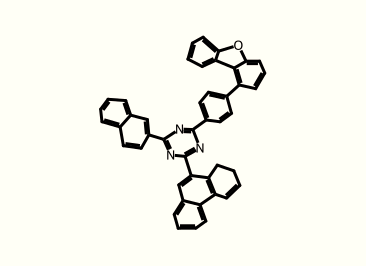 C1=Cc2c(c(-c3nc(-c4ccc(-c5cccc6oc7ccccc7c56)cc4)nc(-c4ccc5ccccc5c4)n3)cc3ccccc23)CC1